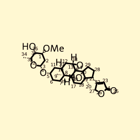 CO[C@@H]1C[C@H](O[C@H]2CC[C@@]3(C)[C@@H](C2)C[C@@H]2O[C@]24[C@@H]3CC[C@]2(C)[C@@H](C3=CC(=O)OC3)CC[C@]42O)O[C@H](C)[C@@H]1O